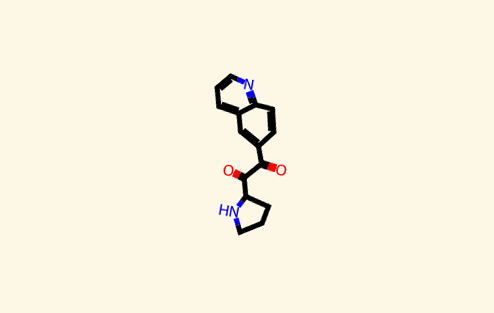 O=C(C(=O)C1CCCN1)c1ccc2ncccc2c1